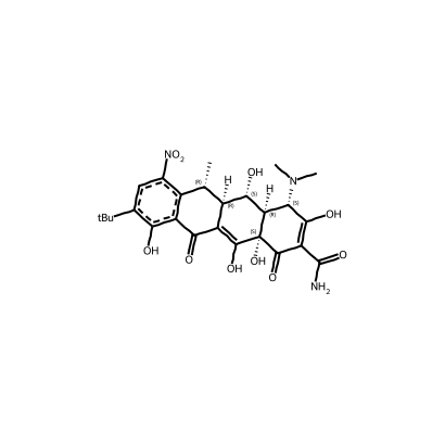 C[C@H]1c2c([N+](=O)[O-])cc(C(C)(C)C)c(O)c2C(=O)C2=C(O)[C@]3(O)C(=O)C(C(N)=O)=C(O)[C@@H](N(C)C)[C@@H]3[C@@H](O)[C@@H]21